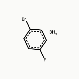 B.Fc1ccc(Br)cc1